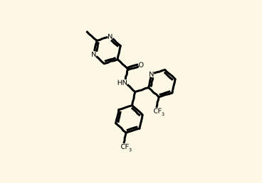 Cc1ncc(C(=O)NC(c2ccc(C(F)(F)F)cc2)c2ncccc2C(F)(F)F)cn1